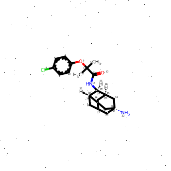 CC(C)(Oc1ccc(Cl)cc1)C(=O)N[C@H]1[C@@H]2CC3C[C@H]1C[C@](N)(C3)C2